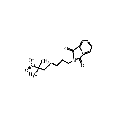 CC(C)(CCCCCN1C(=O)c2ccccc2C1=O)[N+](=O)[O-]